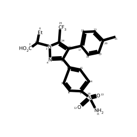 CCC(C(=O)O)n1nc(-c2ccc(S(N)(=O)=O)cc2)c(-c2ccc(C)cc2)c1C(F)(F)F